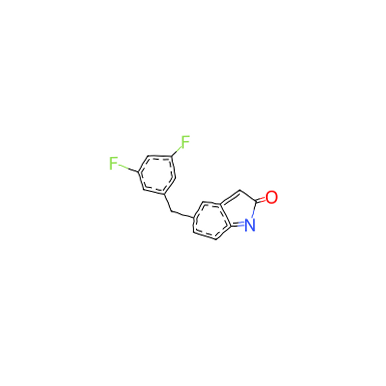 O=C1C=c2cc(Cc3cc(F)cc(F)c3)ccc2=N1